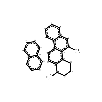 Cc1cc2ccccc2c2ccc3c(c12)CCCC3C.c1ccc2cnccc2c1